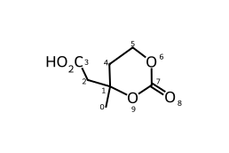 CC1(CC(=O)O)CCOC(=O)O1